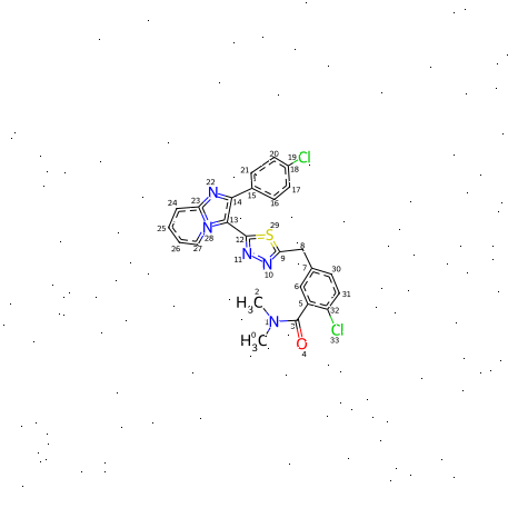 CN(C)C(=O)c1cc(Cc2nnc(-c3c(-c4ccc(Cl)cc4)nc4ccccn34)s2)ccc1Cl